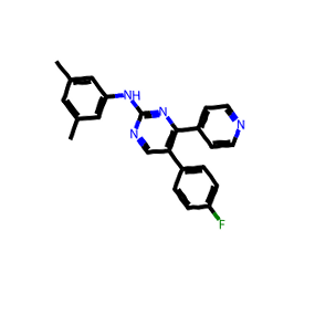 Cc1cc(C)cc(Nc2ncc(-c3ccc(F)cc3)c(-c3ccncc3)n2)c1